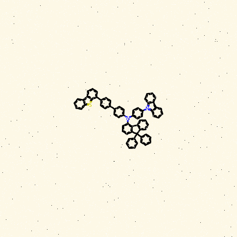 c1ccc(C2(c3ccccc3)c3ccccc3-c3c(N(c4ccc(-c5ccc(-c6cccc7c6sc6ccccc67)cc5)cc4)c4ccc(-n5c6ccccc6c6ccccc65)cc4)cccc32)cc1